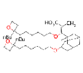 CCCCC1(CCCCCCOC(=C(C)C(=O)O)C23CC4CC(CC(OCCCCCCC5(CCCC)CCO5)(C4)C2)C3)CCO1